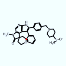 CN1C(=O)C2(CCOCC2)c2c1cnc1[nH]c(-c3ccc(CN4CCC([S+](C)[O-])CC4)cc3)c(-c3ccccc3)c21